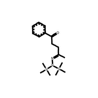 CC(CCC(=O)c1ccccc1)=NN([Si](C)(C)C)[Si](C)(C)C